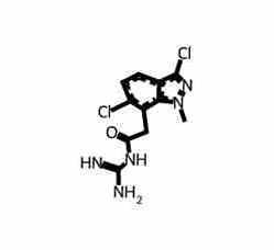 Cn1nc(Cl)c2ccc(Cl)c(CC(=O)NC(=N)N)c21